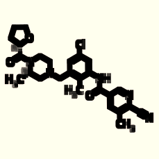 Cc1cc(C(=O)Nc2cc(Cl)cc(CN3CCN(C(=O)[C@@H]4CCCO4)[C@@H](C)C3)c2C)cnc1C#N